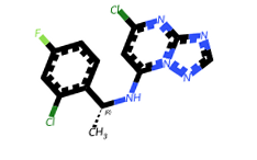 C[C@@H](Nc1cc(Cl)nc2ncnn12)c1ccc(F)cc1Cl